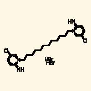 Br.Br.N=c1ccc(Cl)cn1CCCCCCCCCCCCn1cc(Cl)ccc1=N